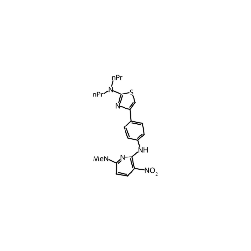 CCCN(CCC)c1nc(-c2ccc(Nc3nc(NC)ccc3[N+](=O)[O-])cc2)cs1